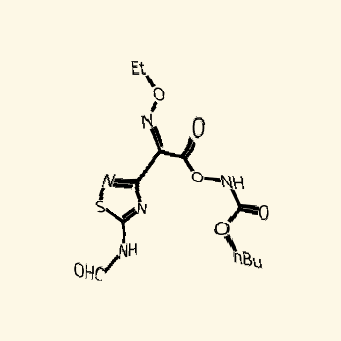 CCCCOC(=O)NOC(=O)C(=NOCC)c1nsc(NC=O)n1